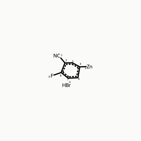 Br.N#Cc1c[c]([Zn])ccc1F